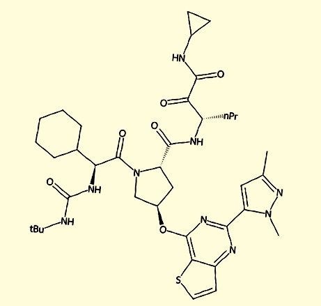 CCC[C@H](NC(=O)[C@@H]1C[C@@H](Oc2nc(-c3cc(C)nn3C)nc3ccsc23)CN1C(=O)[C@@H](NC(=O)NC(C)(C)C)C1CCCCC1)C(=O)C(=O)NC1CC1